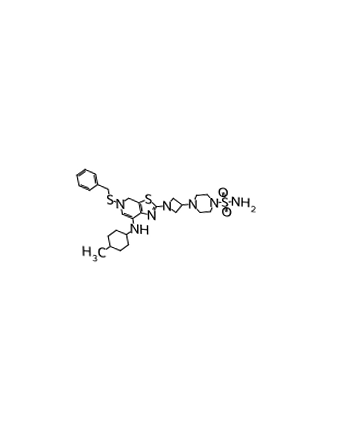 CC1CCC(NC2=CN(SCc3ccccc3)Cc3sc(N4CC(N5CCN(S(N)(=O)=O)CC5)C4)nc32)CC1